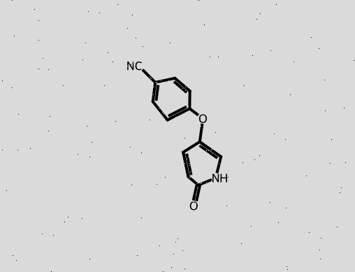 N#Cc1ccc(Oc2ccc(=O)[nH]c2)cc1